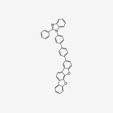 c1ccc(-c2nc3ccccc3n2-c2ccc(-c3ccc(-c4ccc5oc6c(ccc7c8ccccc8oc76)c5c4)cc3)cc2)cc1